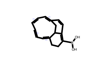 OB(O)C1=C2C=C/C3=C/C=C\C=C\C=C(\CC1)C2C3